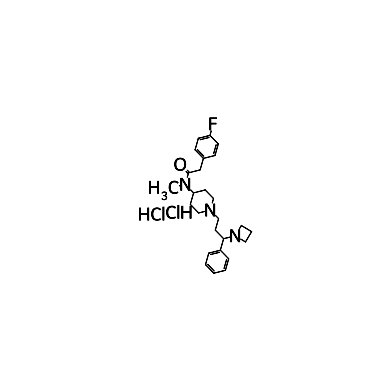 CN(C(=O)Cc1ccc(F)cc1)C1CCN(CCC(c2ccccc2)N2CCC2)CC1.Cl.Cl